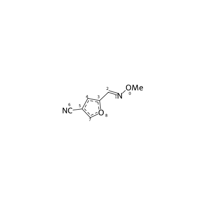 CON=Cc1cc(C#N)co1